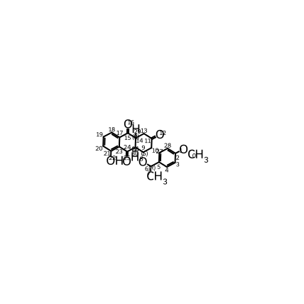 COc1ccc([C@@H](C)O[C@H]2CC(=O)C[C@H]3C(=O)c4cccc(O)c4C(=O)[C@H]23)cc1